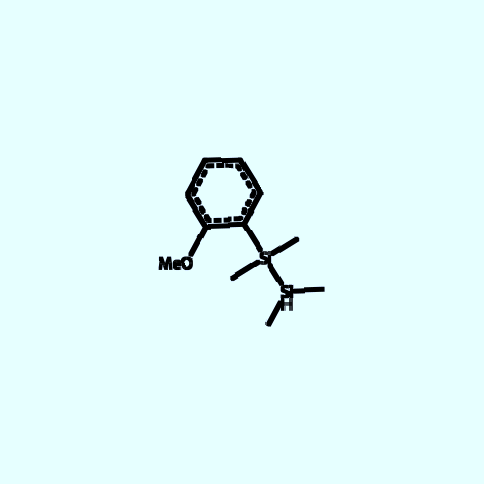 COc1ccccc1[Si](C)(C)[SiH](C)C